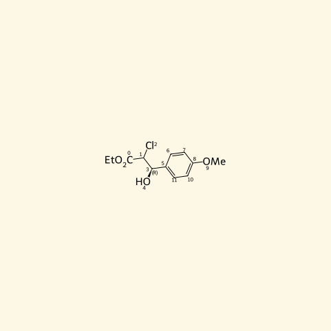 CCOC(=O)C(Cl)[C@H](O)c1ccc(OC)cc1